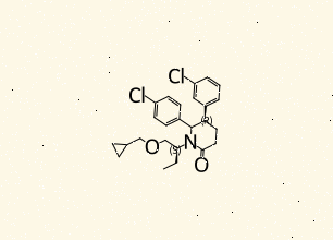 CC[C@@H](COCC1CC1)N1C(=O)CC[C@H](c2cccc(Cl)c2)C1c1ccc(Cl)cc1